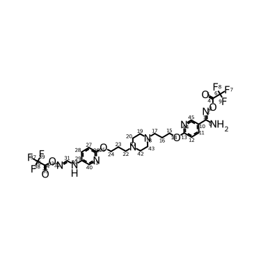 NC(=NOC(=O)C(F)(F)F)c1ccc(OCCCN2CCN(CCCOc3ccc(NC=NOC(=O)C(F)(F)F)cn3)CC2)nc1